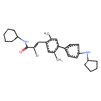 CC/C(=C\c1cc(C)c(-c2ccc(NC3CCCC3)cc2)cc1C)C(=O)NC1CCCCC1